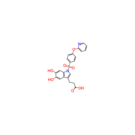 O=C(O)CCc1cn(S(=O)(=O)c2ccc(Oc3ccccn3)cc2)c2cc(O)c(O)cc12